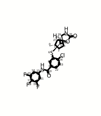 C[C@H]1CC2C[C@@H](Sc3cc(C(=O)Nc4cc(F)c(F)c(F)c4)ccc3Cl)C[C@H]1[C@@]21CNC(=O)O1